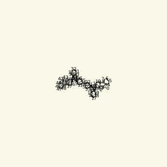 CC1(C)c2ccccc2-c2ccc(N(c3cc#ccc3)c3ccc(-c4ccc(N(c5ccccc5)c5ccc6c(c5)C(C)(C)c5ccccc5-6)cc4)cc3)cc21